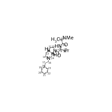 CN[C@@H](C)C(=O)N[C@H](C(=O)N1CC[C@H]2CCN(CCc3ccccc3)C[C@H]21)C(C)C